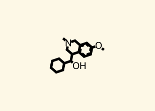 COc1ccc2c(c1)CN(C)CC2C(O)C1CCCCC1